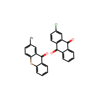 CC(C)c1ccc2sc3ccccc3c(=O)c2c1.O=C1c2ccccc2C(=O)c2cc(Cl)ccc21